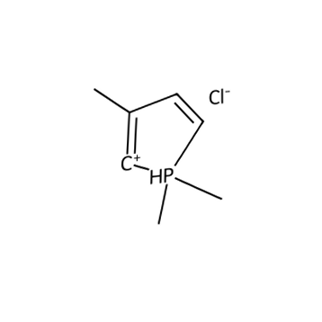 CC1=[C+][PH](C)(C)C=C1.[Cl-]